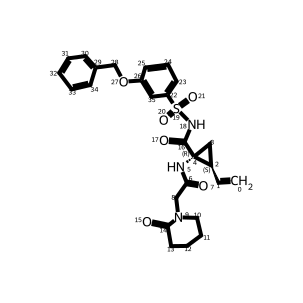 C=C[C@@H]1C[C@]1(NC(=O)CN1CCCCC1=O)C(=O)NS(=O)(=O)c1cccc(OCc2ccccc2)c1